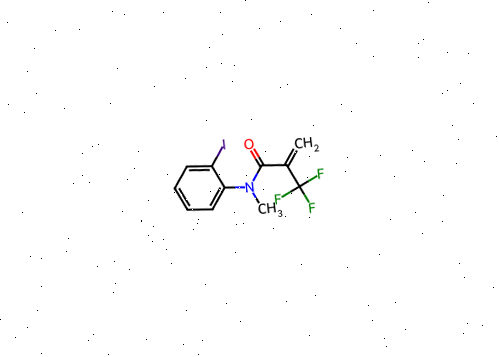 C=C(C(=O)N(C)c1ccccc1I)C(F)(F)F